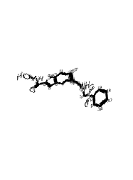 O=C(NO)c1cc2cc(NCS(=O)(=O)c3ccccc3)ccc2s1